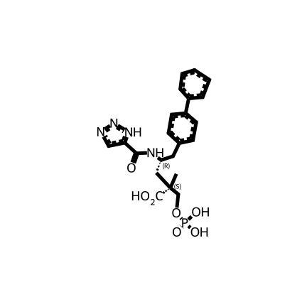 C[C@@](COP(=O)(O)O)(C[C@@H](Cc1ccc(-c2ccccc2)cc1)NC(=O)c1cnn[nH]1)C(=O)O